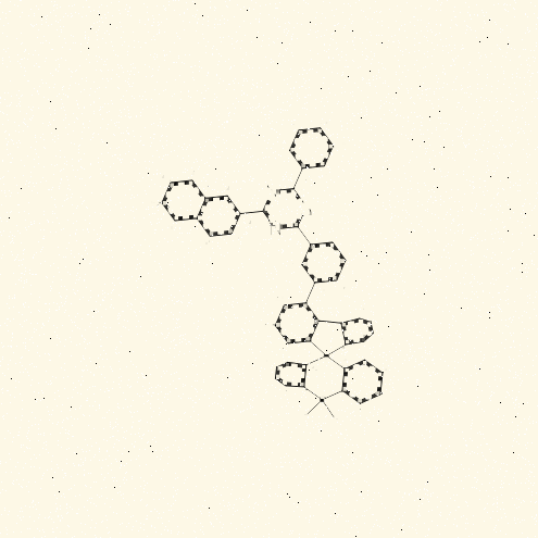 CC1(C)c2ccccc2C2(c3ccccc3-c3c(-c4cccc(-c5nc(-c6ccccc6)nc(-c6ccc7ccccc7c6)n5)c4)cccc32)c2ccccc21